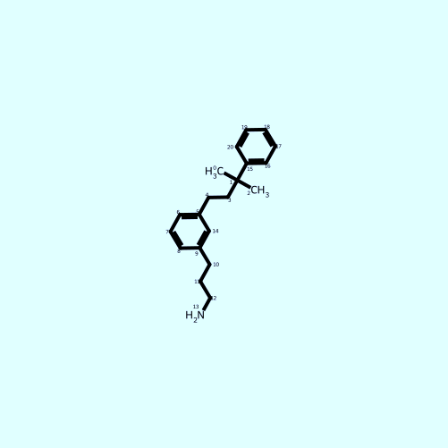 CC(C)(CCc1cccc(CCCN)c1)c1ccccc1